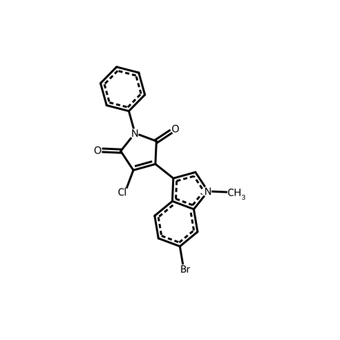 Cn1cc(C2=C(Cl)C(=O)N(c3ccccc3)C2=O)c2ccc(Br)cc21